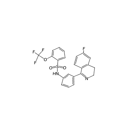 O=S(=O)(Nc1cccc(C2=NCCc3cc(F)ccc32)c1)c1ccccc1OC(F)(F)F